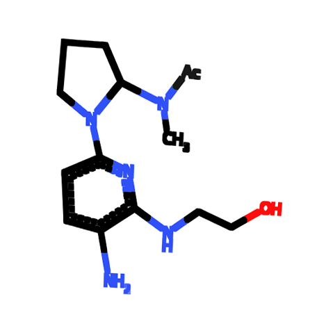 CC(=O)N(C)C1CCCN1c1ccc(N)c(NCCO)n1